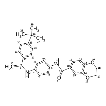 C=C(Nc1ccc(NC(=O)c2ccc3c(c2)OCCO3)cc1)c1ccc(C(C)(C)C)cc1